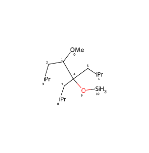 COC(CC(C)C)C(CC(C)C)(CC(C)C)O[SiH3]